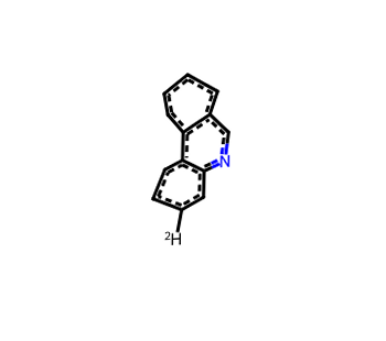 [2H]c1ccc2c(c1)ncc1ccccc12